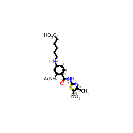 CC(=O)Nc1cc(NCCCCCC(=O)O)ccc1C(=O)Nc1nc(C)c([N+](=O)[O-])s1